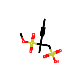 CC#CC(C)(CS(=O)(=O)O)S(=O)(=O)OC